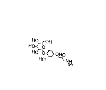 CC(C)NC[C@H](O)COc1ccc(O[C@@H]2O[C@H](CO)[C@@H](O)[C@H](O)[C@H]2O)cc1.Cl